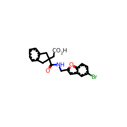 O=C(O)CC1(C(=O)NCc2cc3cc(Br)ccc3o2)Cc2ccccc2C1